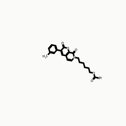 Cc1cccc(-c2cc3ccn(CCCCCCOC(=O)C(C)C)c(=O)c3oc2=O)c1